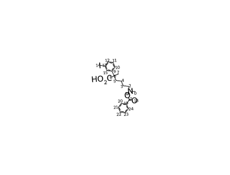 CN(CCCCC(C)(C(=O)O)c1cccc(I)c1)OC(=O)c1ccccc1